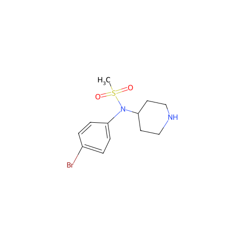 CS(=O)(=O)N(c1ccc(Br)cc1)C1CCNCC1